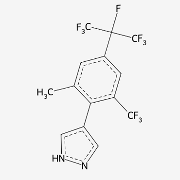 Cc1cc(C(F)(C(F)(F)F)C(F)(F)F)cc(C(F)(F)F)c1-c1cn[nH]c1